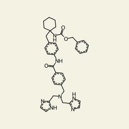 O=C(NC1(Cc2ccc(NC(=O)c3ccc(CN(Cc4ncc[nH]4)Cc4ncc[nH]4)cc3)cc2)CCCCC1)OCc1ccccc1